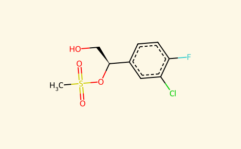 CS(=O)(=O)O[C@@H](CO)c1ccc(F)c(Cl)c1